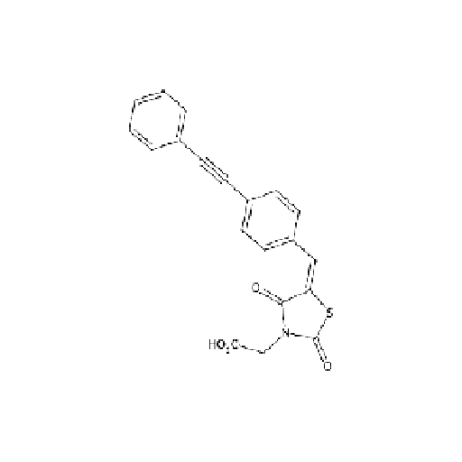 O=C(O)CN1C(=O)SC(=Cc2ccc(C#Cc3ccccc3)cc2)C1=O